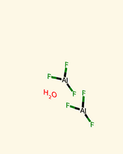 O.[F][Al]([F])[F].[F][Al]([F])[F]